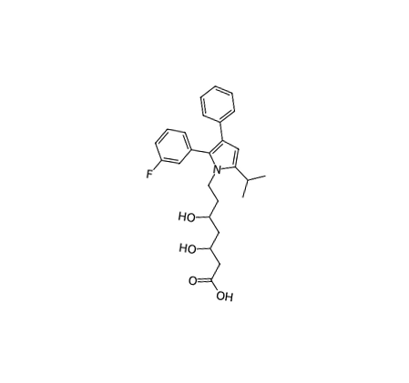 CC(C)c1cc(-c2ccccc2)c(-c2cccc(F)c2)n1CCC(O)CC(O)CC(=O)O